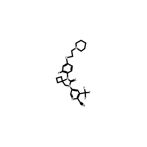 N#Cc1ncc(N2CC3(CCC3)N(c3ccc(OCCN4CCCCC4)cc3F)C2=S)cc1C(F)(F)F